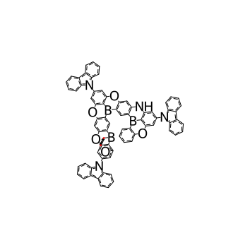 c1ccc2c(c1)Oc1cc(-n3c4ccccc4c4ccccc43)cc3c1B2c1cc2c(cc1N3)Oc1cc(-n3c4ccccc4c4ccccc43)cc3c1B2c1cc2c(cc1O3)Oc1cc(-n3c4ccccc4c4ccccc43)cc3c1B2c1ccccc1O3